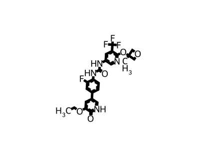 CCOc1cc(-c2ccc(NC(=O)Nc3cnc(OC4(C)COC4)c(C(F)(F)F)c3)c(F)c2)c[nH]c1=O